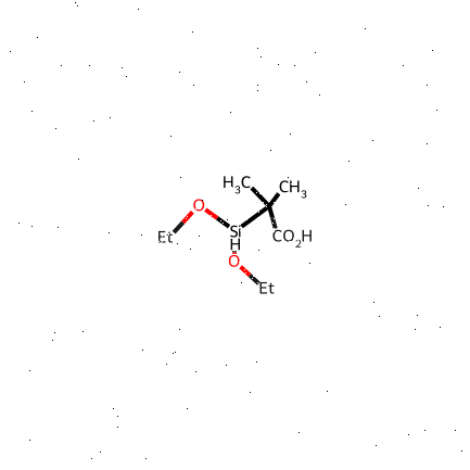 CCO[SiH](OCC)C(C)(C)C(=O)O